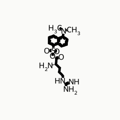 CN(C)c1cccc2c(S(=O)(=O)OC(=O)[C@@H](N)CCCNC(=N)N)cccc12